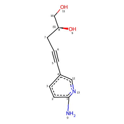 Nc1ccc(C#CC[C@H](O)CO)cn1